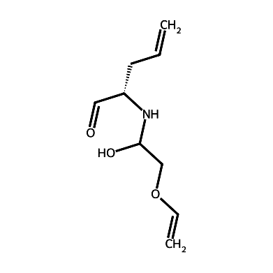 C=CC[C@@H](C=O)NC(O)COC=C